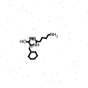 NCCCCC(O)N[C@@H](CC1CCCCC1)C(N)O